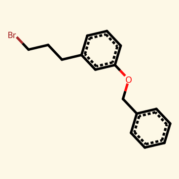 BrCCCc1cccc(OCc2ccccc2)c1